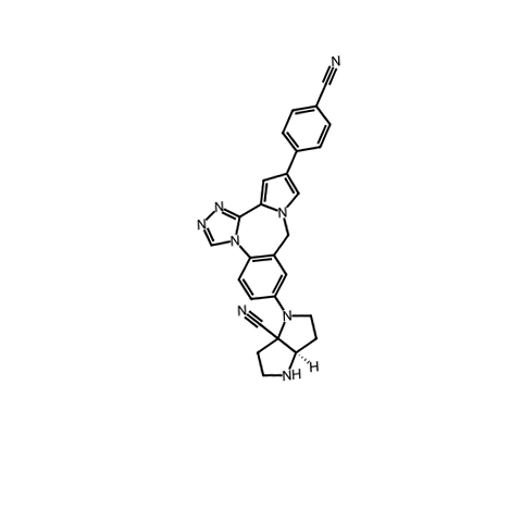 N#Cc1ccc(-c2cc3n(c2)Cc2cc(N4CC[C@H]5NCCC54C#N)ccc2-n2cnnc2-3)cc1